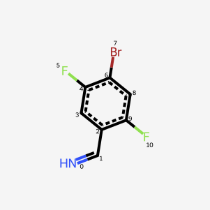 N=Cc1cc(F)c(Br)cc1F